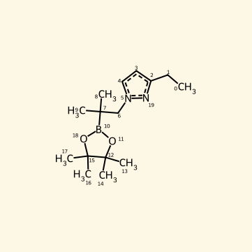 CCc1ccn(CC(C)(C)B2OC(C)(C)C(C)(C)O2)n1